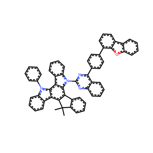 CC1(C)c2ccccc2-c2c1c1c3ccccc3n(-c3ccccc3)c1c1c3ccccc3n(-c3nc(-c4ccc(-c5cccc6c5oc5ccccc56)cc4)c4ccccc4n3)c21